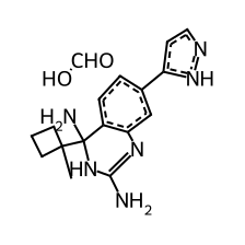 CC1(C2(N)NC(N)=Nc3cc(-c4ccn[nH]4)ccc32)CCC1.O=CO